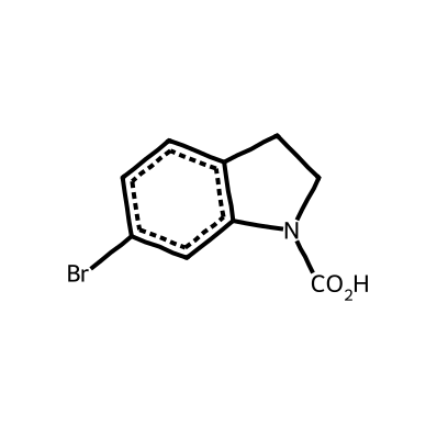 O=C(O)N1CCc2ccc(Br)cc21